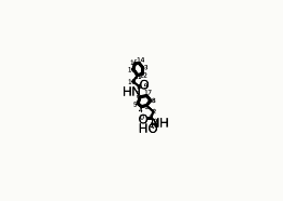 O=C(Cc1ccc(NC(=O)Cc2ccccc2)cc1)NO